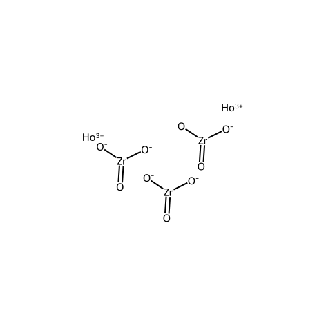 [Ho+3].[Ho+3].[O]=[Zr]([O-])[O-].[O]=[Zr]([O-])[O-].[O]=[Zr]([O-])[O-]